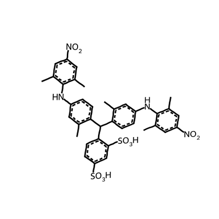 Cc1cc(Nc2c(C)cc([N+](=O)[O-])cc2C)ccc1C(c1ccc(Nc2c(C)cc([N+](=O)[O-])cc2C)cc1C)c1ccc(S(=O)(=O)O)cc1S(=O)(=O)O